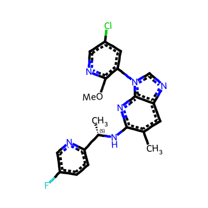 COc1ncc(Cl)cc1-n1cnc2cc(C)c(N[C@@H](C)c3ccc(F)cn3)nc21